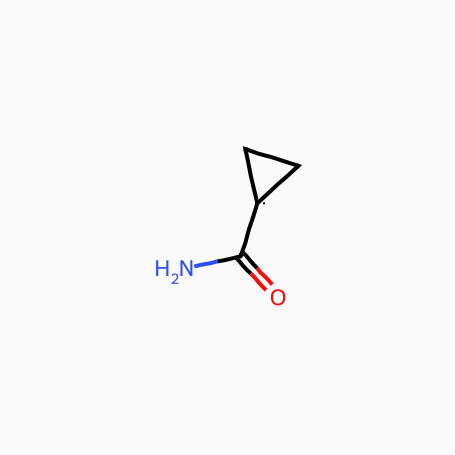 NC(=O)[C]1CC1